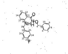 O=C(NOCc1ccccc1)c1ccccc1NCc1ccc(F)cc1